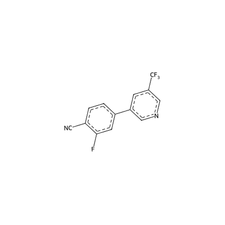 N#Cc1ccc(-c2cncc(C(F)(F)F)c2)cc1F